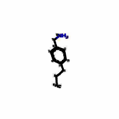 CC(=O)CCc1ccc(CN)cc1